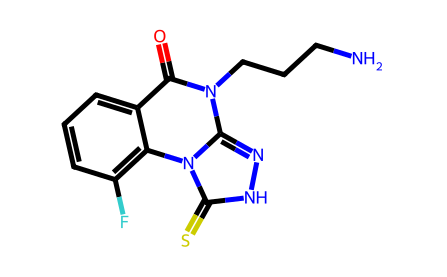 NCCCn1c(=O)c2cccc(F)c2n2c(=S)[nH]nc12